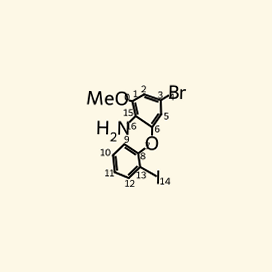 COc1cc(Br)cc(Oc2ccccc2I)c1N